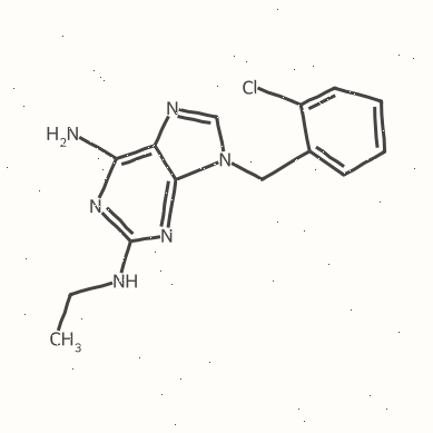 CCNc1nc(N)c2ncn(Cc3ccccc3Cl)c2n1